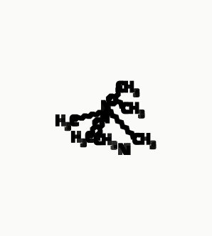 CCCCCCCCCCCC(=Nc1ccc(CCC)c(CCC)c1)C(CCCCCCCC)=Nc1ccc(CCC)c(CCC)c1.[Ni]